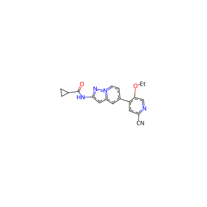 CCOc1cnc(C#N)cc1-c1ccn2nc(NC(=O)C3CC3)cc2c1